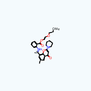 COCCOCCOC(=O)c1ccccc1N[C@H](C)c1cc(C)cc2c(=O)cc(N3CCCCC3)oc12